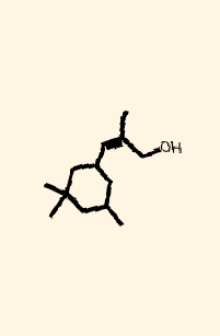 CC(=CC1CC(C)CC(C)(C)C1)CO